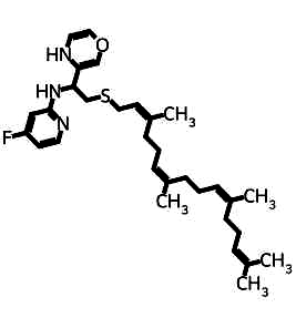 CC(C)=CCCC(C)=CCCC(C)=CCCC(C)=CCSCC(Nc1cc(F)ccn1)C1=COC=CN1